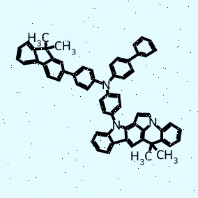 CC1(C)c2ccccc2-c2ccc(-c3ccc(N(c4ccc(-c5ccccc5)cc4)c4ccc(-n5c6ccccc6c6cc7c8c(ccn8-c8ccccc8C7(C)C)c65)cc4)cc3)cc21